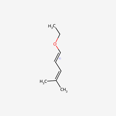 CCO/C=C/C=C(C)C